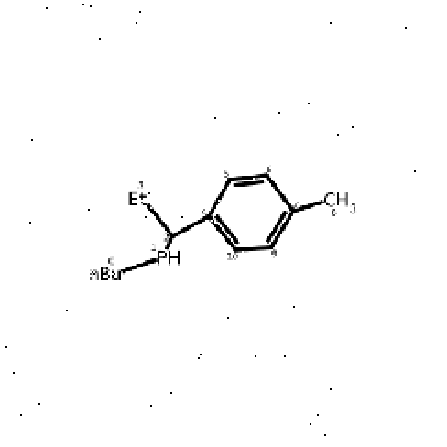 CCCCPC(CC)c1ccc(C)cc1